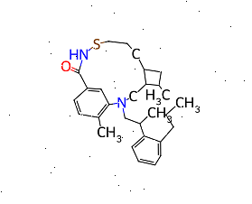 CCCc1ccccc1C(C)CN1CC2C(C)CC2CCCSNC(=O)c2ccc(C)c1c2